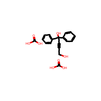 O=C(O)O.O=C(O)O.OCC#CC(O)(c1ccccc1)c1ccccc1